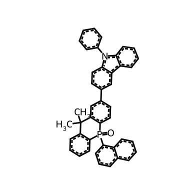 CC1(C)c2ccccc2P(=O)(c2cccc3ccccc23)c2ccc(-c3ccc4c(c3)c3ccccc3n4-c3ccccc3)cc21